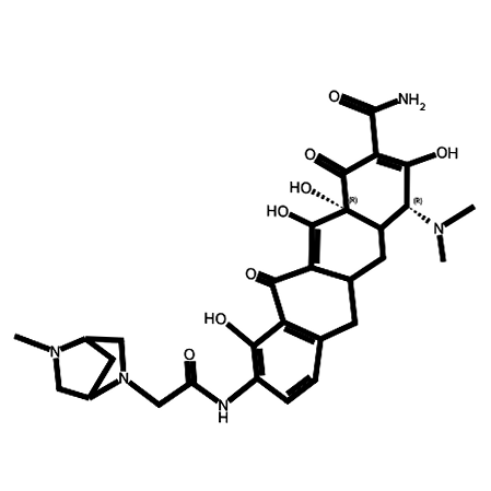 CN1CC2CC1CN2CC(=O)Nc1ccc2c(c1O)C(=O)C1=C(O)[C@@]3(O)C(=O)C(C(N)=O)=C(O)[C@H](N(C)C)C3CC1C2